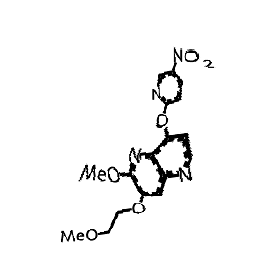 COCCOc1cc2nccc(Oc3ccc([N+](=O)[O-])cn3)c2nc1OC